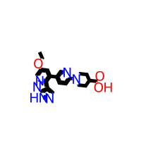 CCOc1cc(-c2ccc(N3CCC(C(=O)O)CC3)nc2)c2c3cn[nH]c3nn2c1